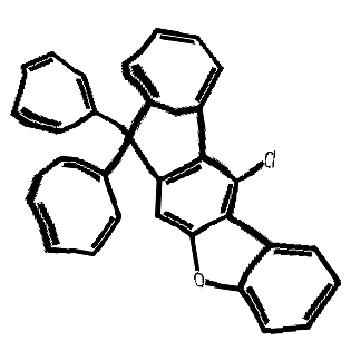 Clc1c2c(cc3oc4ccccc4c13)C(c1ccccc1)(c1ccccc1)c1ccccc1-2